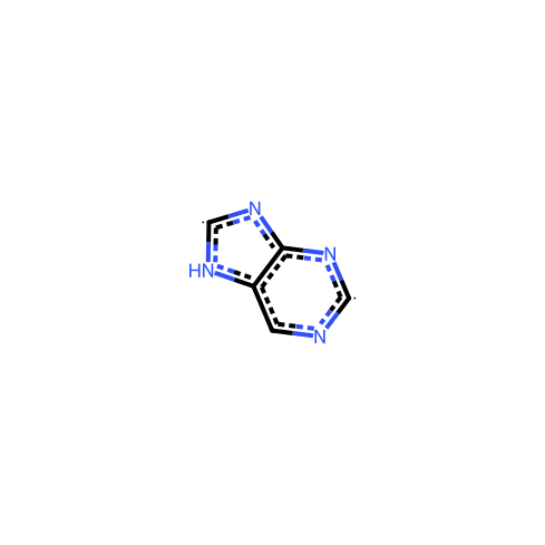 [c]1ncc2[nH][c]nc2n1